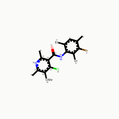 CCc1cc(C)c(Br)c(CC)c1NC(=O)c1c(C)nc(C)c(OC)c1Cl